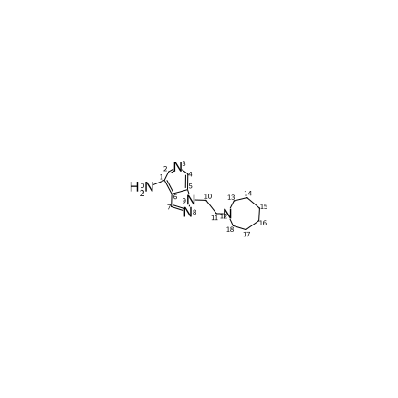 Nc1cncc2c1cnn2CCN1CCCCCC1